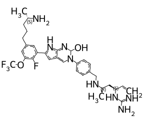 C=C[C@H](C[C@@H](C)NCc1ccc(N2C=c3cc(-c4cc(CCC[C@H](C)N)cc(OC(F)(F)F)c4F)[nH]c3=NC2O)cc1)NC(=N)N